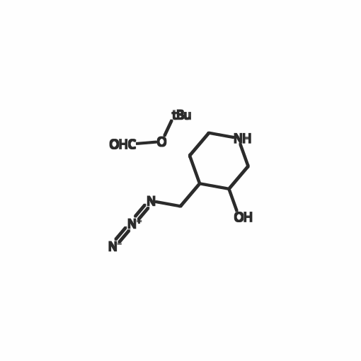 CC(C)(C)OC=O.[N-]=[N+]=NCC1CCNCC1O